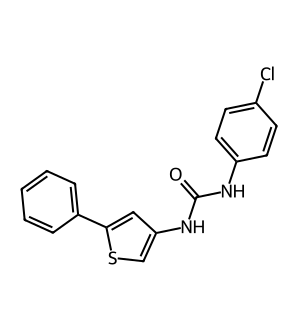 O=C(Nc1ccc(Cl)cc1)Nc1csc(-c2ccccc2)c1